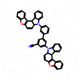 N#Cc1cc(-c2cccc(N3c4ccccc4C4c5c(oc6ccccc56)C=CC43)c2)cc(N2c3ccccc3C3c4c(oc5ccccc45)C=CC32)c1